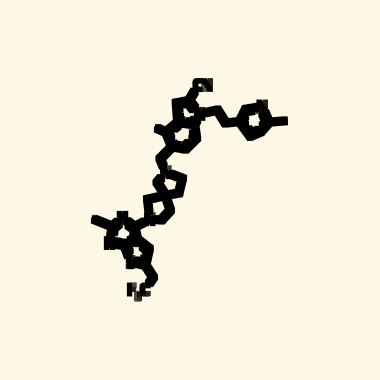 Cc1ccc(CCn2c(C#N)cc3c(C)c(CN4CCC5(CCN(c6nc(C)nc7sc(CC(F)(F)F)cc67)C5)C4)ccc32)cn1